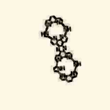 c1cc2ccc3nc2c2nc(ccc12)c1ccc([nH]1)c1ccc2c(n1)c1nc(ccc1c1nc4c5ccc6nc5c5nc(ccc5c4nc21)c1ccc([nH]1)c1ccc2ccc4ccc(nc4c2n1)c1ccc6[nH]1)c1ccc3[nH]1